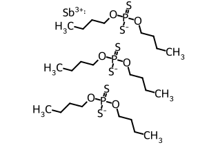 CCCCOP(=S)([S-])OCCCC.CCCCOP(=S)([S-])OCCCC.CCCCOP(=S)([S-])OCCCC.[Sb+3]